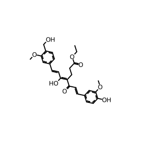 CCOC(=O)CC/C(C(=O)/C=C/c1ccc(O)c(OC)c1)=C(O)\C=C\c1ccc(CO)c(OC)c1